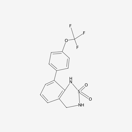 O=S1(=O)NCc2cccc(-c3ccc(OC(F)(F)F)cc3)c2N1